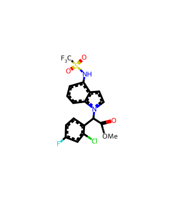 COC(=O)C(c1ccc(F)cc1Cl)n1ccc2c(NS(=O)(=O)C(F)(F)F)cccc21